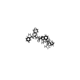 Cc1ccsc1S(=O)(=O)Nc1cccc2cc(C(=O)NCC(C)(CN3CCOCC3)SCc3ccccc3)[nH]c12